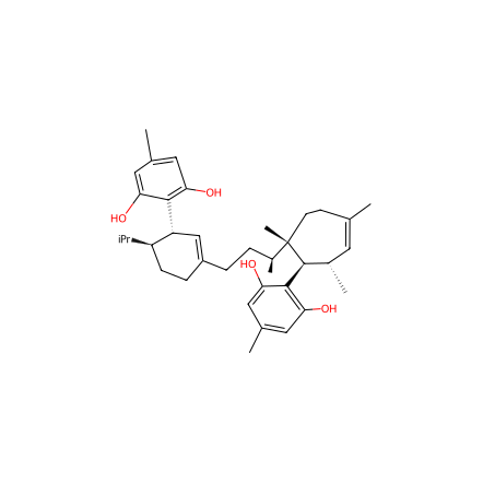 CC1=C[C@H](C)[C@@H](c2c(O)cc(C)cc2O)[C@](C)([C@@H](C)CCC2=C[C@@H](c3c(O)cc(C)cc3O)[C@H](C(C)C)CC2)CC1